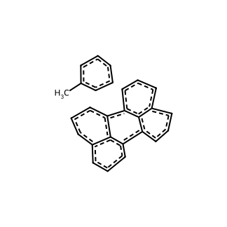 Cc1ccccc1.c1cc2cccc3c4cccc5cccc(c(c1)c23)c54